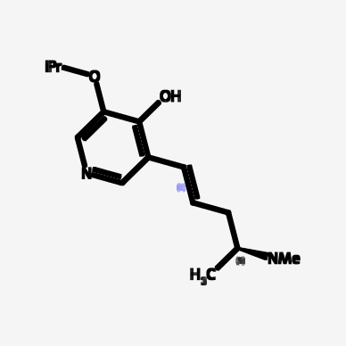 CN[C@@H](C)C/C=C/c1cncc(OC(C)C)c1O